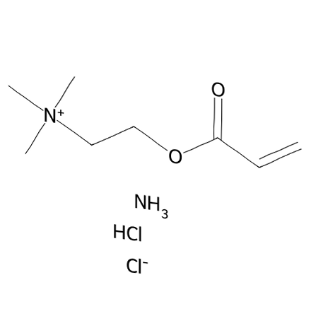 C=CC(=O)OCC[N+](C)(C)C.Cl.N.[Cl-]